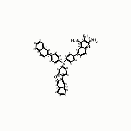 Bc1nc2ccc(-c3ccc(N(c4ccc(-c5ccc6ccccc6c5)cc4)c4ccc5c(c4)oc4cc6ccccc6cc45)cc3)cc2c(B)c1B